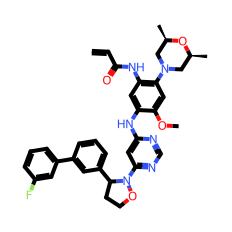 C=CC(=O)Nc1cc(Nc2cc(N3OCCC3c3cccc(-c4cccc(F)c4)c3)ncn2)c(OC)cc1N1C[C@@H](C)O[C@@H](C)C1